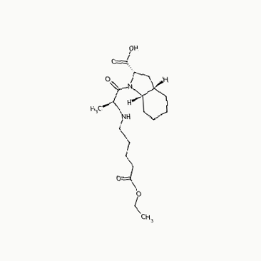 CCOC(=O)CCCCN[C@@H](C)C(=O)N1[C@H](C(=O)O)C[C@@H]2CCCC[C@@H]21